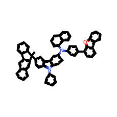 CC1(c2ccc3c(c2)c2cc(N(c4ccc(-c5cccc6c5oc5ccccc56)cc4)c4cccc5ccccc45)ccc2n3-c2ccccc2)c2ccccc2-c2cc3ccccc3cc21